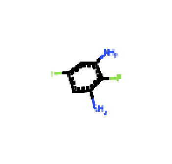 Nc1cc(F)cc(N)c1F